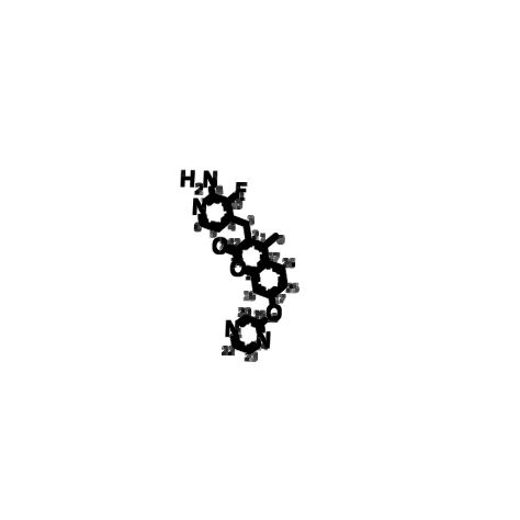 Cc1c(Cc2ccnc(N)c2F)c(=O)oc2cc(Oc3cnccn3)ccc12